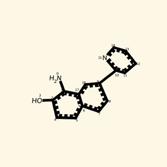 Nc1c(O)ccc2ccc(-c3ccccn3)cc12